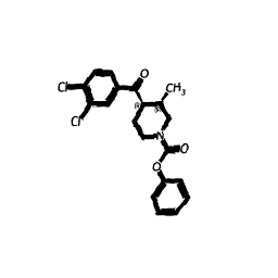 C[C@H]1CN(C(=O)Oc2ccccc2)CC[C@H]1C(=O)c1ccc(Cl)c(Cl)c1